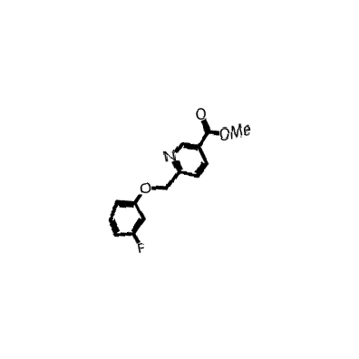 COC(=O)c1ccc(COc2cccc(F)c2)nc1